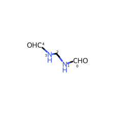 O=CNCNC=O